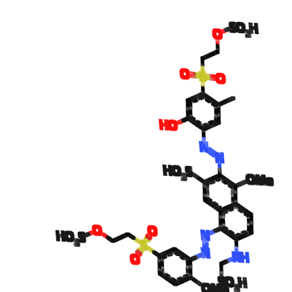 COc1ccc(S(=O)(=O)CCOS(=O)(=O)O)cc1/N=N/c1c(NCS(=O)(=O)O)ccc2c(OC)c(/N=N/c3cc(C)c(S(=O)(=O)CCOS(=O)(=O)O)cc3O)c(S(=O)(=O)O)cc12